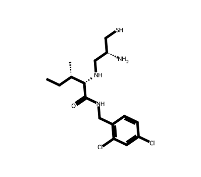 CC[C@H](C)[C@H](NC[C@@H](N)CS)C(=O)NCc1ccc(Cl)cc1Cl